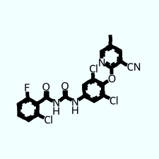 Cc1cnc(Oc2c(Cl)cc(NC(=O)NC(=O)c3c(F)cccc3Cl)cc2Cl)c(C#N)c1